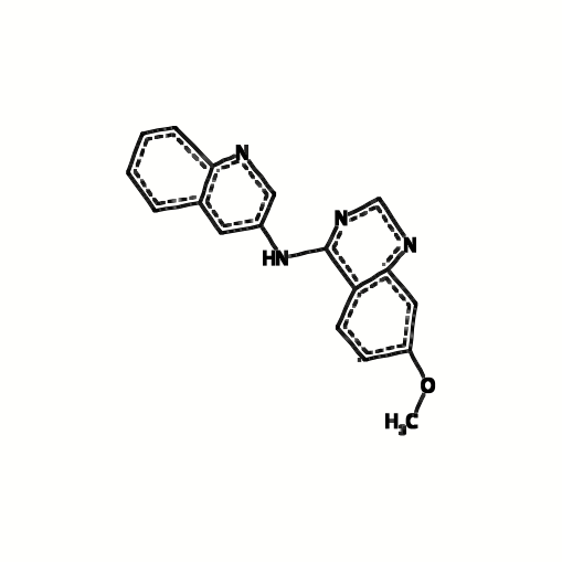 COc1[c]cc2c(Nc3cnc4ccccc4c3)ncnc2c1